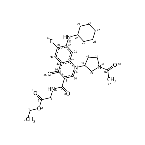 CCOC(=O)CNC(=O)c1cn(C2CCN(C(C)=O)C2)c2cc(NC3CCCCC3)c(F)cc2c1=O